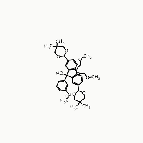 CNc1cccc(C(O)(c2cc(C3OCC(C)(C)CO3)ccc2OCOC)c2cc(C3OCC(C)(C)CO3)ccc2OCOC)c1